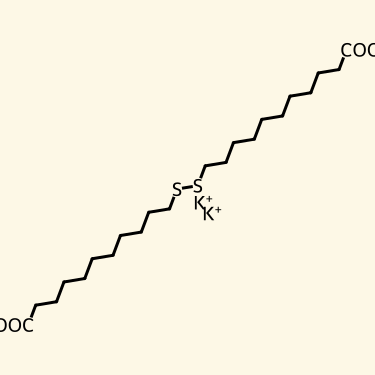 O=C([O-])CCCCCCCCCCSSCCCCCCCCCCC(=O)[O-].[K+].[K+]